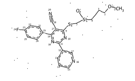 COCCC[S+]([O-])CSc1nc(-c2cccnc2)nc(-c2ccc(F)cc2)c1C#N